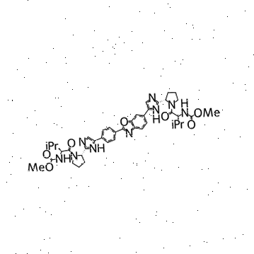 COC(=O)N[C@H](C(=O)N1CCC[C@H]1c1ncc(-c2ccc(-c3nc4ccc(-c5cnc([C@@H]6CCCN6C(=O)[C@@H](NC(=O)OC)C(C)C)[nH]5)cc4o3)cc2)[nH]1)C(C)C